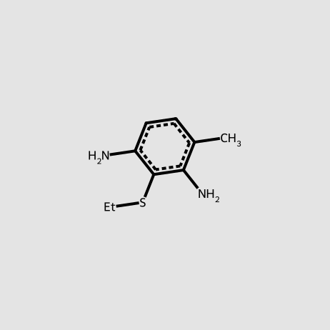 CCSc1c(N)ccc(C)c1N